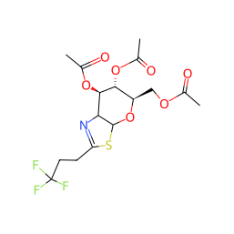 CC(=O)OC[C@H]1OC2SC(CCC(F)(F)F)=NC2[C@@H](OC(C)=O)[C@@H]1OC(C)=O